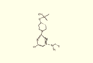 CCN(CF)c1cc(Cl)nc(N2CCC(O[Si](C)(C)C(C)(C)C)CC2)n1